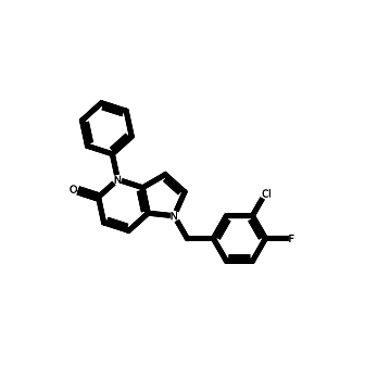 O=c1ccc2c(ccn2Cc2ccc(F)c(Cl)c2)n1-c1ccccc1